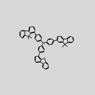 CC1(C)c2ccccc2-c2ccc(-c3ccc(N(c4ccc(-c5cccc6c5C(C)(C)c5ccccc5-6)cc4)c4ccc(-c5cccc6c5sc5ccccc56)cc4)cc3)cc21